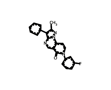 Cc1nn2c(ncc3c(=O)n(-c4cccc(F)c4)ccc32)c1-c1ccccc1